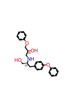 OC[C@H](Cc1ccc(Oc2ccccc2)cc1)NC[C@H](O)COc1ccccc1